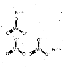 [Fe+3].[Fe+3].[O]=[Mn]([O-])[O-].[O]=[Mn]([O-])[O-].[O]=[Mn]([O-])[O-]